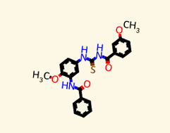 COc1cccc(C(=O)NC(=S)Nc2ccc(OC)c(NC(=O)c3ccccc3)c2)c1